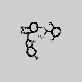 CC(Oc1ccc2[nH]nc(-c3nc4ccc(F)cc4[nH]3)c2c1)c1c(Cl)cncc1Cl